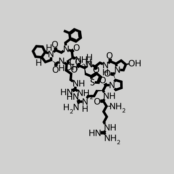 Cc1ccccc1CN(CC(=O)N1[C@H](C(=O)N[C@@H](CCCNC(=N)N)C(=O)O)C[C@@H]2CCCC[C@@H]21)C(=O)[C@H](CO)NC(=O)[C@H](Cc1cccs1)NC(=O)CNC(=O)C1C[C@@H](O)CN1C(=O)[C@@H]1CCCN1C(=O)[C@H](CCCNC(=N)N)NC(=O)[C@H](N)CCCNC(=N)N